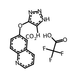 O=C(O)C(F)(F)F.O=C(O)c1[nH]nnc1Oc1ccc2ncccc2c1